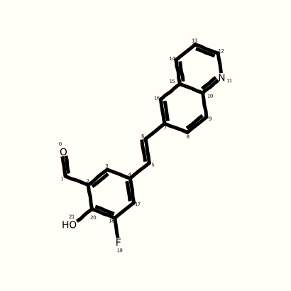 O=Cc1cc(/C=C/c2ccc3ncccc3c2)cc(F)c1O